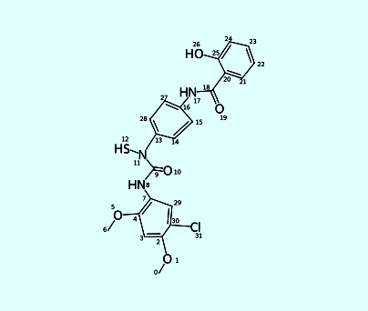 COc1cc(OC)c(NC(=O)N(S)c2ccc(NC(=O)c3ccccc3O)cc2)cc1Cl